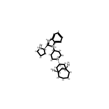 c1ccc2c(c1)nc([C@H]1CCCN1)n2C1CCN([C@@H]2C[C@@H]3CCCC[C@@H](C3)C2)CC1